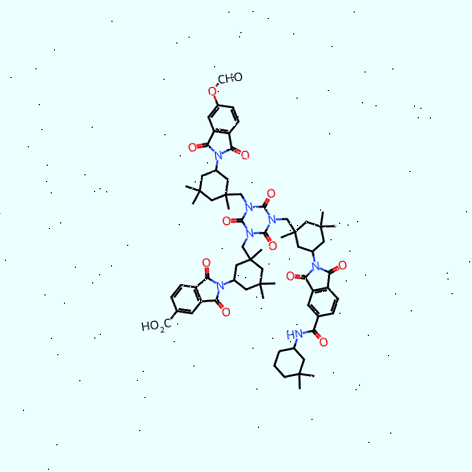 CC1(C)CCCC(NC(=O)c2ccc3c(c2)C(=O)N(C2CC(C)(C)CC(C)(Cn4c(=O)n(CC5(C)CC(N6C(=O)c7ccc(OC=O)cc7C6=O)CC(C)(C)C5)c(=O)n(CC5(C)CC(N6C(=O)c7ccc(C(=O)O)cc7C6=O)CC(C)(C)C5)c4=O)C2)C3=O)C1